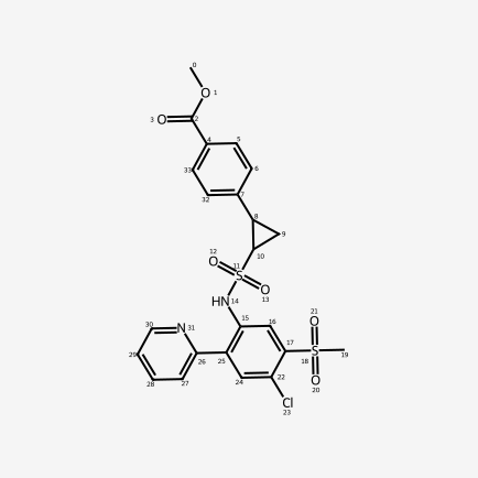 COC(=O)c1ccc(C2CC2S(=O)(=O)Nc2cc(S(C)(=O)=O)c(Cl)cc2-c2ccccn2)cc1